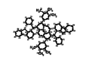 Cc1cc(-c2cc(N(c3ccccc3)c3cccc4c3Cc3ccccc3-4)c3ccc4c(-c5cc(C)c(C)c(C)c5)cc(N(c5ccccc5)c5cccc6c5sc5ccccc56)c5ccc2c3c45)cc(C)c1C